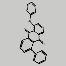 O=C1c2cccc(Nc3ccccc3)c2C(=S)c2cccc(-c3ccccc3)c21